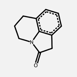 O=C1Cc2cccc3c2N1CCC3